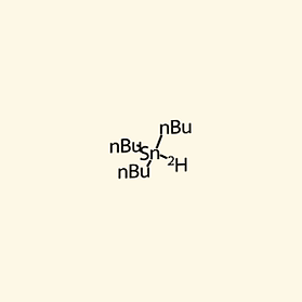 [2H][Sn]([CH2]CCC)([CH2]CCC)[CH2]CCC